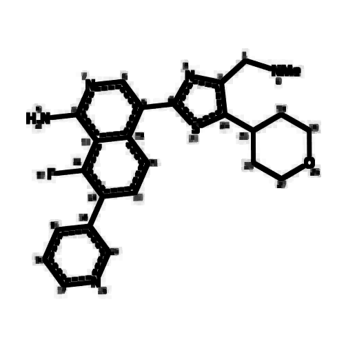 CNCc1nc(-c2cnc(N)c3c(F)c(-c4cccnc4)ccc23)sc1C1CCOCC1